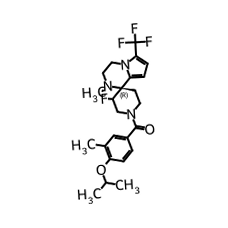 Cc1cc(C(=O)N2CC[C@@]3(c4ccc(C(F)(F)F)n4CCN3C)C(F)C2)ccc1OC(C)C